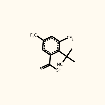 CC(C)(C#N)c1c(C(=S)S)cc(C(F)(F)F)cc1C(F)(F)F